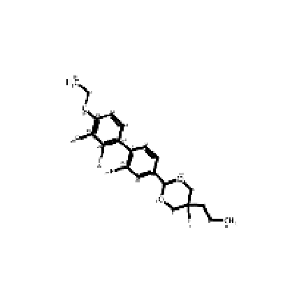 CCCC1(F)COC(c2ccc(-c3ccc(OCC)c(F)c3F)c(F)c2)OC1